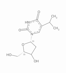 CC(C)c1cn([C@@H]2CC(O)[C@H](CO)O2)c(=O)[nH]c1=O